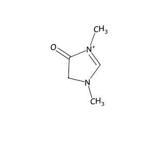 CN1C=[N+](C)C(=O)C1